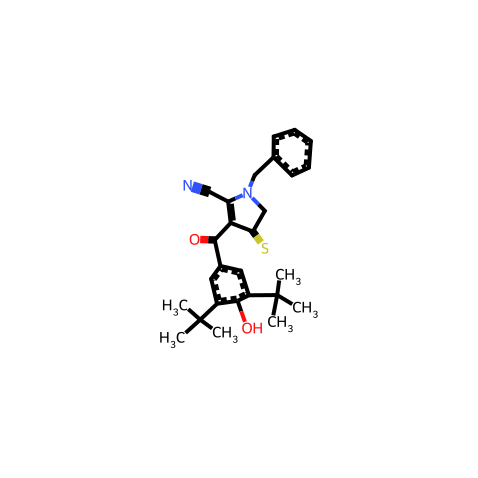 CC(C)(C)c1cc(C(=O)C2=C(C#N)N(Cc3ccccc3)CC2=S)cc(C(C)(C)C)c1O